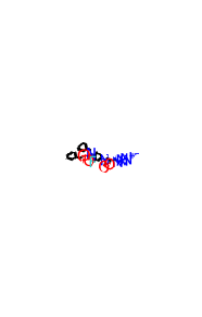 [N-]=[N+]=NC[C@H]1CN(c2ccc(N(Cc3ccccc3)C(=O)OCc3ccccc3)c(F)c2)C(=O)O1